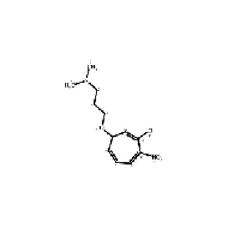 CN(C)CCCOC1C=CC=C([N+](=O)[O-])C(Cl)=C1